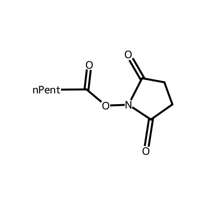 CCCCCC(=O)ON1C(=O)CCC1=O